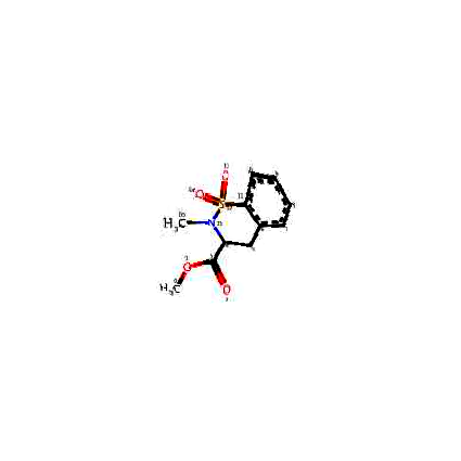 COC(=O)C1Cc2ccccc2S(=O)(=O)N1C